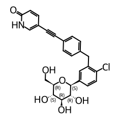 O=c1ccc(C#Cc2ccc(Cc3cc([C@@H]4O[C@H](CO)[C@@H](O)[C@H](O)[C@H]4O)ccc3Cl)cc2)c[nH]1